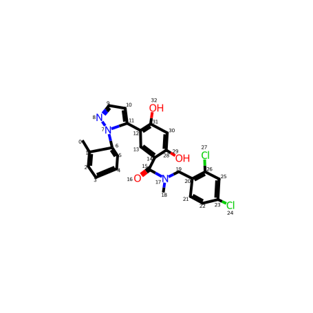 Cc1ccccc1-n1nccc1-c1cc(C(=O)N(C)Cc2ccc(Cl)cc2Cl)c(O)cc1O